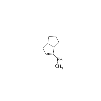 CPC1=CCC2CCCC12